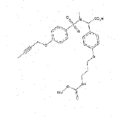 CC#CCOc1ccc(S(=O)(=O)N(C)C(C(=O)O)c2ccc(OCCCNC(=O)OC(C)(C)C)cc2)cc1